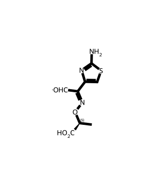 C[C@H](ON=C([C]=O)c1csc(N)n1)C(=O)O